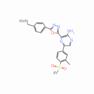 CNCc1ccc(-c2nnc(-c3nc(-c4ccc(S(=O)(=O)C(C)C)c(C)c4)cnc3N)o2)cc1